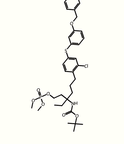 CCC(CCCc1ccc(Sc2cccc(OCc3ccccc3)c2)cc1Cl)(CCOP(=O)(OC)OC)NC(=O)OC(C)(C)C